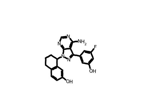 Nc1ncnc2c1c(-c1cc(O)cc(F)c1)nn2C1CCCc2ccc(O)cc21